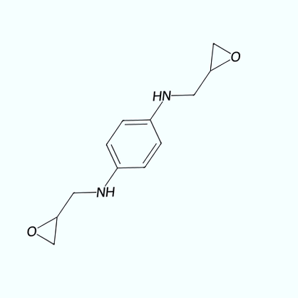 c1cc(NCC2CO2)ccc1NCC1CO1